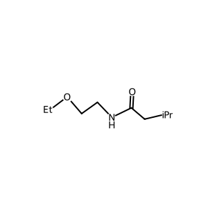 CCOCCNC(=O)CC(C)C